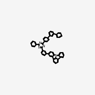 c1ccc(-c2cccc(-c3ccc(-c4nc(-c5ccccc5)nc(-c5cccc(-c6ccc7c(c6)c6cccc8c9ccccc9n7c86)c5)n4)cc3)c2)cc1